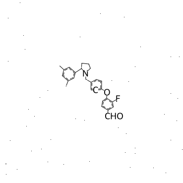 Cc1cc(C)cc(C2CCCN2Cc2ccc(Oc3ccc(C=O)cc3F)cc2)c1